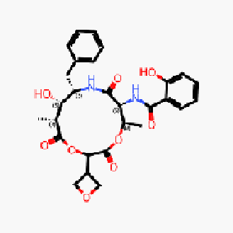 C[C@H]1OC(=O)C(C2COC2)OC(=O)[C@H](C)[C@H](O)[C@H](Cc2ccccc2)NC(=O)[C@H]1NC(=O)c1ccccc1O